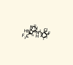 Fc1cccc(CNc2ncnc3[nH]c(C(F)(F)F)cc23)c1Cl